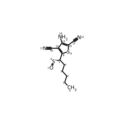 CCCCCC([S+]=O)c1sc(C#N)c(N)c1C#N